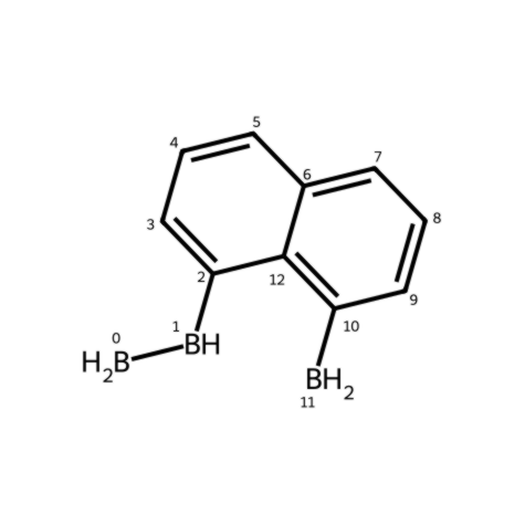 BBc1cccc2cccc(B)c12